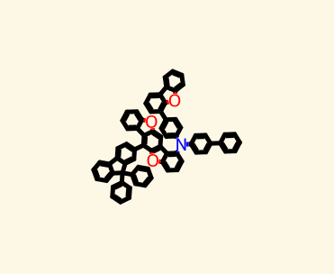 c1ccc(-c2ccc(N(c3ccc(-c4cccc5c4oc4ccccc45)cc3)c3cccc4oc5c(-c6ccc7c(c6)C(c6ccccc6)(c6ccccc6)c6ccccc6-7)c6c(cc5c34)oc3ccccc36)cc2)cc1